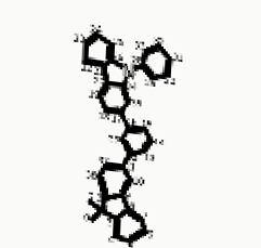 CC1(C)c2ccccc2-c2cc(-c3cccc(-c4ccc5c6ccccc6n(-c6ccccc6)c5c4)c3)ccc21